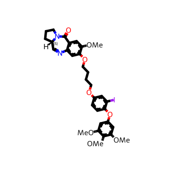 COc1cc2c(cc1OCCCCOc1ccc(Oc3cc(OC)c(OC)c(OC)c3)c(I)c1)N=C[C@@H]1CCCN1C2=O